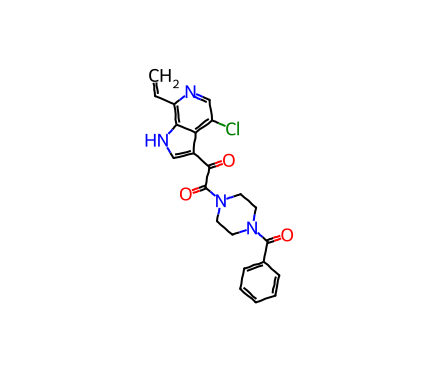 C=Cc1ncc(Cl)c2c(C(=O)C(=O)N3CCN(C(=O)c4ccccc4)CC3)c[nH]c12